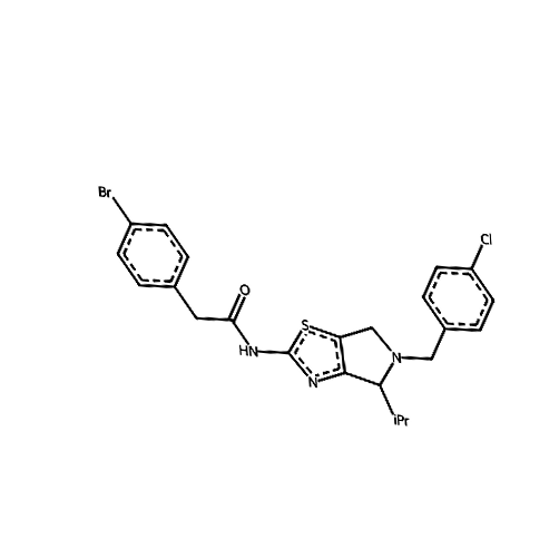 CC(C)C1c2nc(NC(=O)Cc3ccc(Br)cc3)sc2CN1Cc1ccc(Cl)cc1